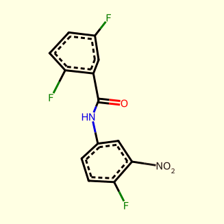 O=C(Nc1ccc(F)c([N+](=O)[O-])c1)c1cc(F)ccc1F